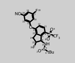 CC(C)(C)[S+]([O-])NC1c2c(S(=O)(=O)C(F)(F)F)ccc(Oc3cc(F)cc(C#N)c3)c2CC1F